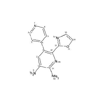 Nc1cc(-c2ccncc2)c(-c2ncco2)nc1N